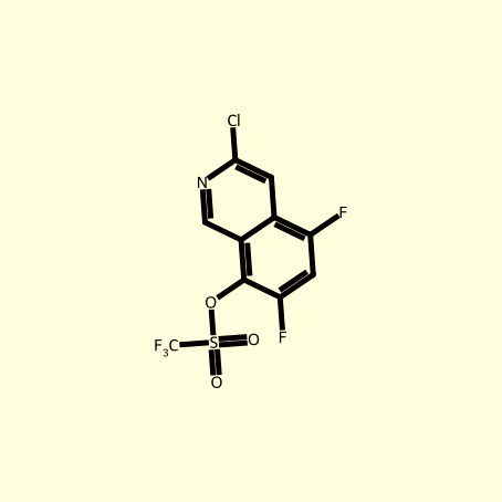 O=S(=O)(Oc1c(F)cc(F)c2cc(Cl)ncc12)C(F)(F)F